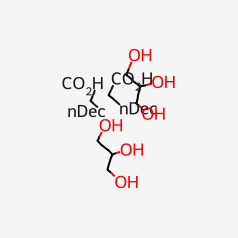 CCCCCCCCCCCC(=O)O.CCCCCCCCCCCC(=O)O.OCC(O)CO.OCC(O)CO